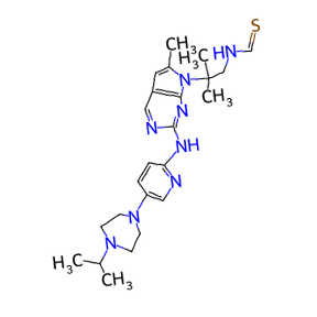 Cc1cc2cnc(Nc3ccc(N4CCN(C(C)C)CC4)cn3)nc2n1C(C)(C)CNC=S